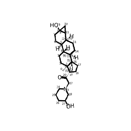 C[C@]12CC[C@@H]3[C@H]4CC[C@]5(O)CC5[C@H]4CC[C@H]3[C@@H]1CC[C@@H]2C(=O)CN1CCCC(O)C1